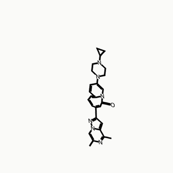 Cc1cn2nc(C3=C\C(=O)N4C=C(N5CCN(C6CC6)CC5)C=C\C4=C/C=C/3)cc2c(C)n1